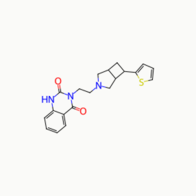 O=c1[nH]c2ccccc2c(=O)n1CCN1CC2CC(c3cccs3)C2C1